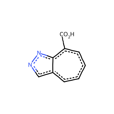 O=C(O)c1ccccc2cnnc1-2